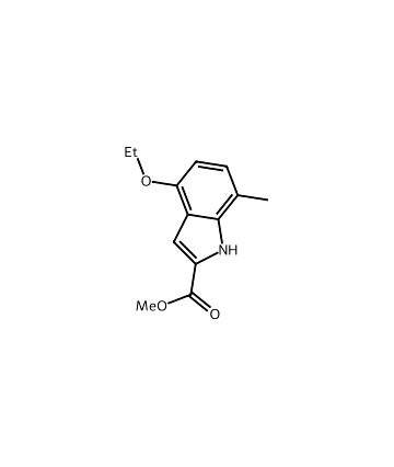 CCOc1ccc(C)c2[nH]c(C(=O)OC)cc12